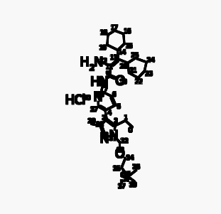 CCc1c(-c2ccc(NC(=O)C(N)=C(C3CCCCC3)C3CCCCC3)nc2)c(C)nn1COCC[Si](C)(C)C.Cl